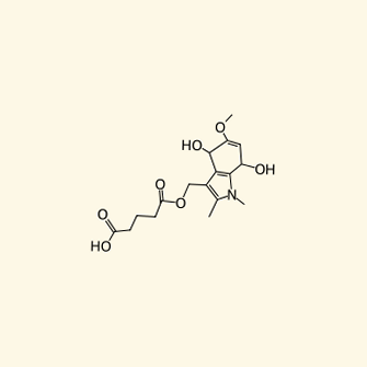 COC1=CC(O)c2c(c(COC(=O)CCCC(=O)O)c(C)n2C)C1O